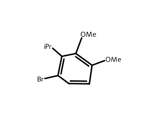 COc1ccc(Br)c(C(C)C)c1OC